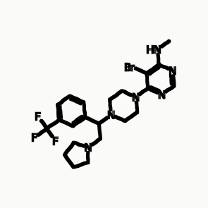 CNc1ncnc(N2CCN(C(CN3CCCC3)c3cccc(C(F)(F)F)c3)CC2)c1Br